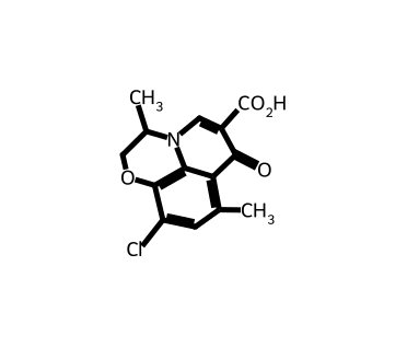 Cc1cc(Cl)c2c3c1c(=O)c(C(=O)O)cn3C(C)CO2